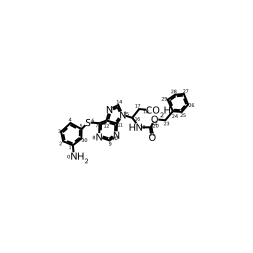 Nc1cccc(Sc2ncnc3c2ncn3C(CC(=O)O)NC(=O)OCc2ccccc2)c1